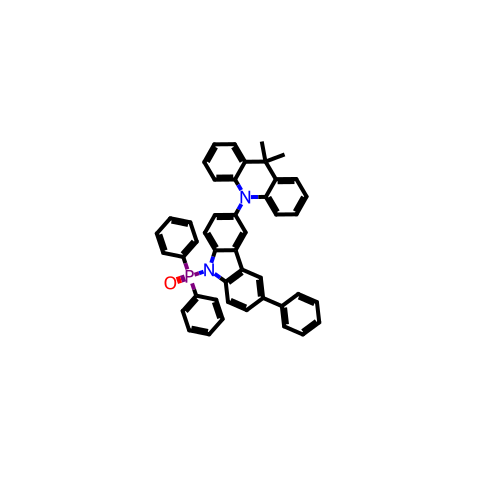 CC1(C)c2ccccc2N(c2ccc3c(c2)c2cc(-c4ccccc4)ccc2n3P(=O)(c2ccccc2)c2ccccc2)c2ccccc21